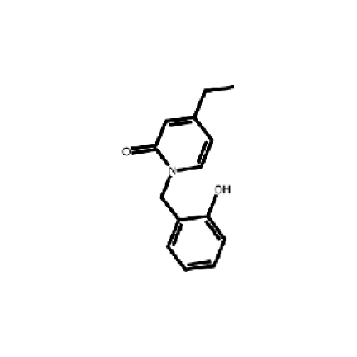 CCc1ccn(Cc2ccccc2O)c(=O)c1